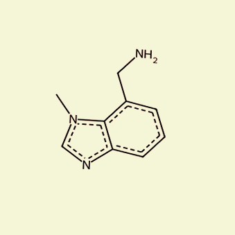 Cn1cnc2cccc(CN)c21